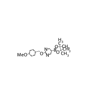 COc1ccc(COc2ncc(B3OC(C)(C)C(C)(C)O3)cn2)cc1